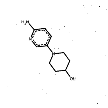 Nc1ccc(N2CCC(O)CC2)cn1